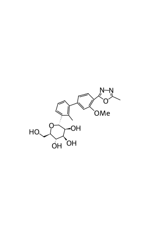 COc1cc(-c2cccc([C@H]3O[C@H](CO)[C@@H](O)[C@H](O)[C@@H]3O)c2C)ccc1-c1nnc(C)o1